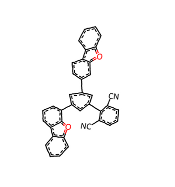 N#Cc1cccc(C#N)c1-c1cc(-c2ccc3c(c2)oc2ccccc23)cc(-c2cccc3c2oc2ccccc23)c1